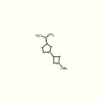 CN(C)[C@@H]1CCN(C2CN(C(C)(C)C)C2)C1